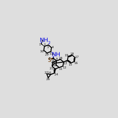 NC[C@H]1CC[C@H](NC(=S)C23CC4CC(c5ccccc5)(CC(C2)C4=CC2CC2)C3)CC1